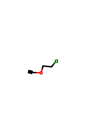 C#COCCCl